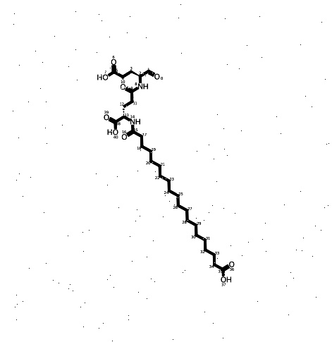 O=C[C@H](CCC(=O)O)NC(=O)CC[C@H](NC(=O)CCCCCCCCCCCCCCCCCCC(=O)O)C(=O)O